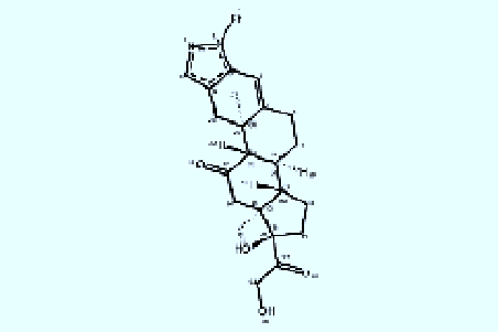 CCn1ncc2c1C=C1CC[C@@H]3[C@H](C(=O)C[C@@]4(C)[C@H]3CC[C@]4(O)C(=O)CO)[C@@]1(C)C2